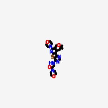 CC1(C)Cc2c(c(N3CCOCC3)nc3sc4c(NCC(=O)N5CCOCC5)ncnc4c23)CO1